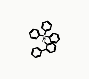 c1ccc(-c2ccccc2O[PH](c2ccccc2)(c2ccccc2)c2ccccc2)cc1